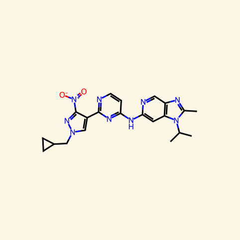 Cc1nc2cnc(Nc3ccnc(-c4cn(CC5CC5)nc4[N+](=O)[O-])n3)cc2n1C(C)C